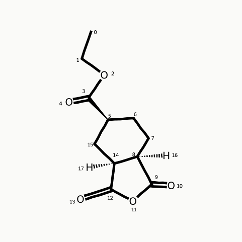 CCOC(=O)[C@H]1CC[C@H]2C(=O)OC(=O)[C@H]2C1